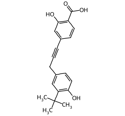 CC(C)(C)c1cc(CC#Cc2ccc(C(=O)O)c(O)c2)ccc1O